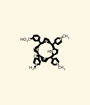 CN1C=CC(C2=c3ccc([nH]3)=C(C3=CCN(C)C=C3)C3=NC(Cl)(C=C3)C(Cl)(C3=CCN(C)C=C3)c3ccc([nH]3)C(c3cccc(C(=O)O)c3)=C3C=CC2=N3)=CC1